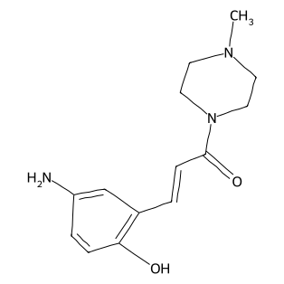 CN1CCN(C(=O)C=Cc2cc(N)ccc2O)CC1